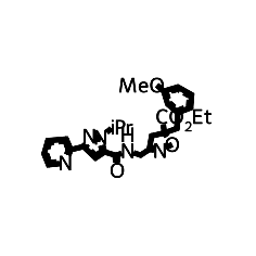 CCOC(=O)C1(Cc2cccc(OC)c2)CC(CNC(=O)c2cc(-c3ccccn3)nn2C(C)C)=NO1